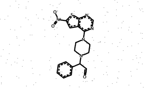 O=CC(c1ccccc1)N1CCN(c2ncnc3sc([N+](=O)[O-])cc23)CC1